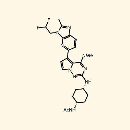 CNc1nc(N[C@H]2CC[C@@H](NC(C)=O)CC2)nn2ccc(-c3ccc4nc(C)n(CC(F)F)c4n3)c12